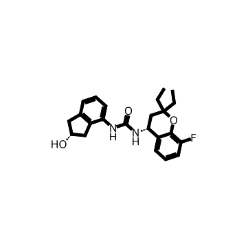 CCC1(CC)C[C@@H](NC(=O)Nc2cccc3c2C[C@H](O)C3)c2cccc(F)c2O1